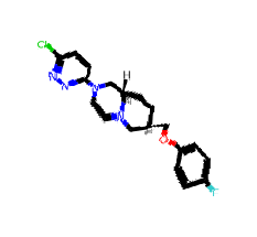 Fc1ccc(OC[C@@H]2CC[C@H]3CN(c4ccc(Cl)nn4)CCN3C2)cc1